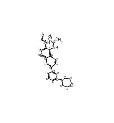 CC(C)Nc1c(NC=O)nnc2cc(-c3cccc(N4CCOCC4)c3)ccc12